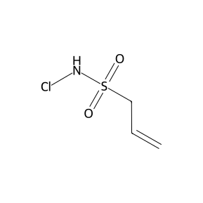 C=CCS(=O)(=O)NCl